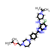 CC(C)OCCN1CCCN(c2ccc(-c3nc4c(NC5CCN(C(C)C)CC5)c(Cl)cnc4[nH]3)cc2)CC1